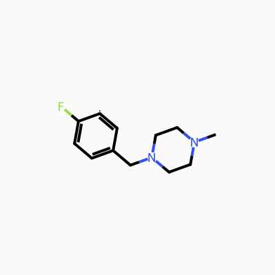 CN1CCN(Cc2c[c]c(F)cc2)CC1